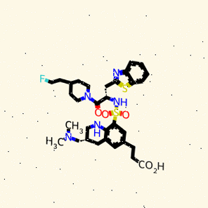 CN(C)C[C@@H]1CNc2c(cc(CCC(=O)O)cc2S(=O)(=O)N[C@@H](Cc2nc3ccccc3s2)C(=O)N2CCC(CCF)CC2)C1